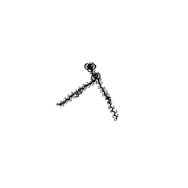 CCCCCCCCCSCSCCCCCCCCC1(CCCCCCCCSCSCCCCCCCCC)OCC(CCOS(C)(=O)=O)O1